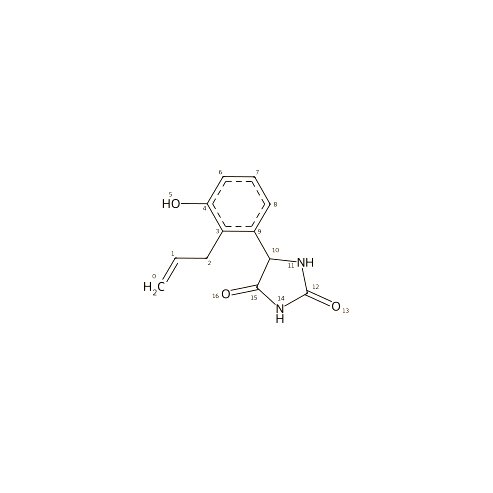 C=CCc1c(O)cccc1C1NC(=O)NC1=O